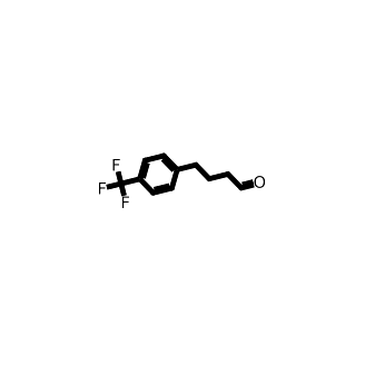 O=CCCCc1ccc(C(F)(F)F)cc1